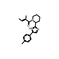 C/C=C(\C)C(=O)N1CCCCC1c1ncc(-c2ccc(C)cc2)[nH]1